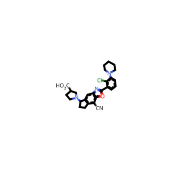 N#Cc1c2c(cc3nc(-c4cccc(N5CCCCC5)c4Cl)oc13)C(N1CCC(C(=O)O)C1)CC2